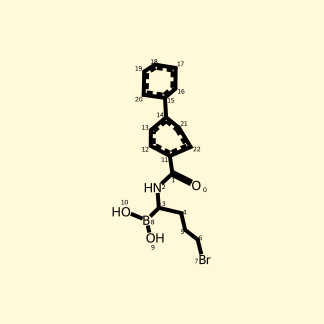 O=C(NC(CCCBr)B(O)O)c1ccc(-c2ccccc2)cc1